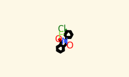 O=C1c2ccccc2C(=O)N1c1cccc(Cl)c1F